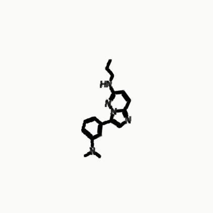 CCCNc1ccc2ncc(-c3cccc(N(C)C)c3)n2n1